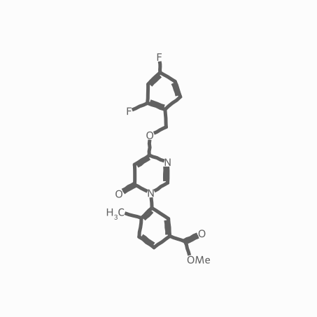 COC(=O)c1ccc(C)c(-n2cnc(OCc3ccc(F)cc3F)cc2=O)c1